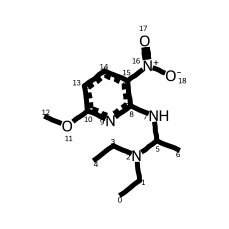 CCN(CC)C(C)Nc1nc(OC)ccc1[N+](=O)[O-]